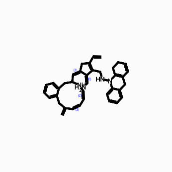 C=CC1=C(CNN2C3=C(C=CCC3)Cc3ccccc32)C(=C/N)/C(=C\C2Cc3ccccc3CC(=C)/C=C\C=C/N2)C1